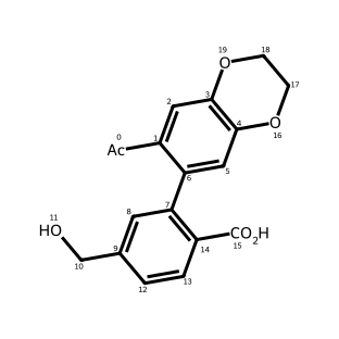 CC(=O)c1cc2c(cc1-c1cc(CO)ccc1C(=O)O)OCCO2